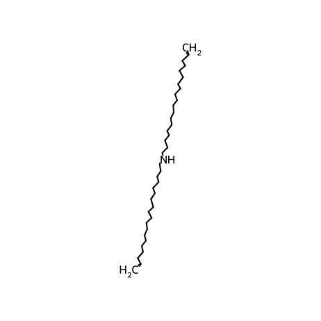 C=CCCCCCCCCCCCCCCCCCNCCCCCCCCCCCCCCCCCC=C